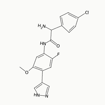 COc1cc(NC(=O)C(N)c2ccc(Cl)cc2)c(F)cc1-c1cn[nH]c1